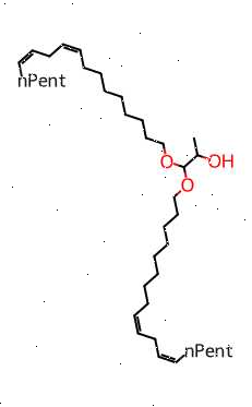 CCCCC/C=C\C/C=C\CCCCCCCCOC(OCCCCCCCC/C=C\C/C=C\CCCCC)C(C)O